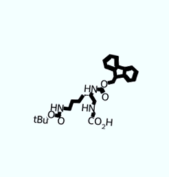 CC(C)(C)OC(=O)NCCCC[C@@H](CNCC(=O)O)NC(=O)OCC1c2ccccc2-c2ccccc21